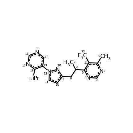 Cc1ncnc(C(C)Cc2ccn(-c3cncnc3C(C)C)n2)c1C(F)(F)F